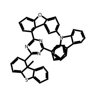 CC12C(=CC=CC1c1nc(-c3ccccc3)nc(-c3cccc4oc5ccc(-n6c7ccccc7c7ccccc76)cc5c34)n1)Sc1ccccc12